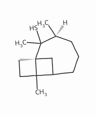 C[C@H]1CCCC2C[C@]3(CCC23C)C1(C)S